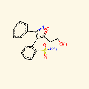 NS(=O)(=O)c1ccccc1-c1c(-c2ccccc2)noc1CCO